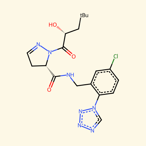 CC(C)(C)C[C@@H](O)C(=O)N1N=CC[C@H]1C(=O)NCc1cc(Cl)ccc1-n1cnnn1